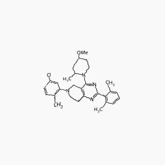 COC1CCN(c2nc(-c3c(C)cccc3C)nc3c2CN(c2cc(Cl)ccc2C)CC3)C(C)C1